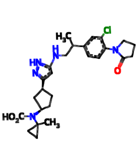 CC(CNc1cc([C@H]2CC[C@@H](N(C(=O)O)C3(C)CC3)C2)n[nH]1)c1ccc(N2CCCC2=O)c(Cl)c1